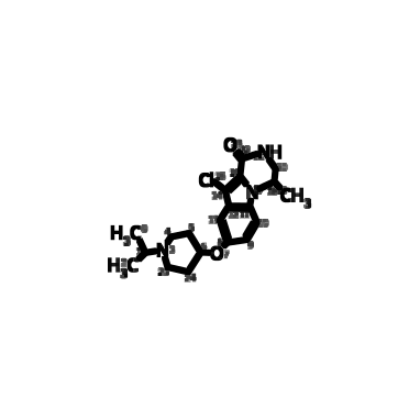 CC(C)N1CCC(Oc2ccc3c(c2)c(Cl)c2n3C(C)CNC2=O)CC1